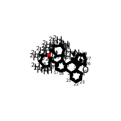 [2H]C1C([2H])([2H])C([2H])([2H])C([2H])([2H])C([2H])([2H])C1([2H])c1ccc(-c2cccc3oc4ccccc4c23)c(-c2ccnnn2)c1C1([2H])C([2H])C([2H])([2H])C([2H])([2H])C([2H])([2H])C1([2H])[2H]